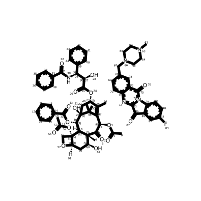 CC(=O)O[C@H]1C(=O)[C@@]2(C)[C@H]([C@H](OC(=O)c3ccccc3)[C@]3(O)C[C@H](OC(=O)[C@H](O)[C@@H](NC(=O)c4ccccc4)c4ccccc4)C(C)=C1C3(C)C)[C@]1(OC(C)=O)CO[C@@H]1C[C@@H]2O.CN1CCN(Cc2ccc3nc4n(c(=O)c3c2)-c2ccc(F)cc2C4=O)CC1